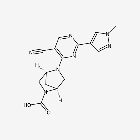 Cn1cc(-c2ncc(C#N)c(N3C[C@@H]4C[C@H]3CN4C(=O)O)n2)cn1